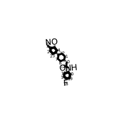 O=NCc1ccc([C@H]2CC[C@@H](CC(=O)Nc3ccc(F)cc3)CC2)cc1